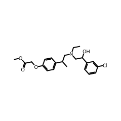 CCN(CC(C)c1ccc(OCC(=O)OC)cc1)CC(O)c1cccc(Cl)c1